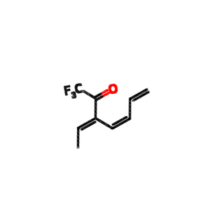 C=C/C=C\C(=C/C)C(=O)C(F)(F)F